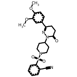 COc1ccc(C2=NN(C3CCN(S(=O)(=O)c4ccccc4C#N)CC3)C(=O)CC2)cc1OC